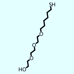 OCCOCCOCCOCCCCCCS